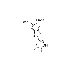 C=C(O)[C@@H](C)CC(=O)c1cc2cc(OC)c(OC)cc2s1